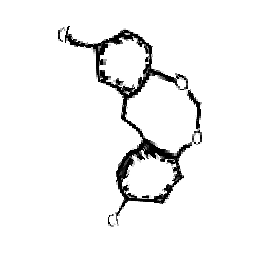 Clc1ccc2c(c1)Cc1cc(Cl)ccc1OCO2